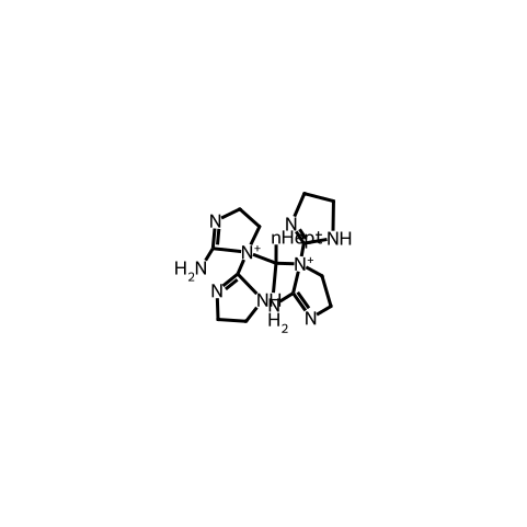 CCCCCCCC(C)([N+]1(C2=NCCN2)CCN=C1N)[N+]1(C2=NCCN2)CCN=C1N